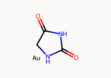 O=C1CNC(=O)N1.[Au]